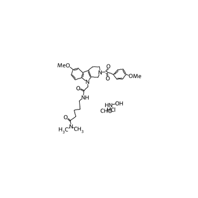 COc1ccc(S(=O)(=O)N2CCc3c(n(CC(=O)NCCCCC(=O)N(C)C)c4ccc(OC)cc34)C2)cc1.Cl.O=CNO